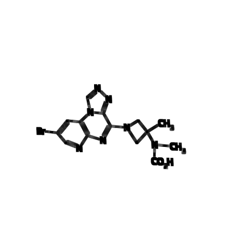 CN(C(=O)O)C1(C)CN(c2nc3ncc(Br)cc3n3cnnc23)C1